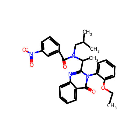 CCOc1ccccc1-n1c(C(C)N(CC(C)C)C(=O)c2cccc([N+](=O)[O-])c2)nc2ccccc2c1=O